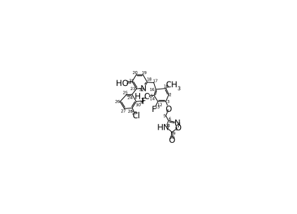 Cc1cc(OCc2noc(=O)[nH]2)c(F)c(C)c1Cc1ccc(O)c(-c2cccc(Cl)c2F)n1